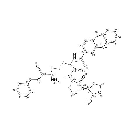 CC(C)C[C@H](NC(=O)C(CCCC(N)C(=O)OCc1ccccc1)NC(=O)c1ccc2c(c1)Nc1ccccc1S2)C(=O)N[C@H]1CCOC1O